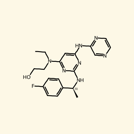 CCN(CCO)c1cc(Nc2cnccn2)nc(N[C@@H](C)c2ccc(F)cc2)n1